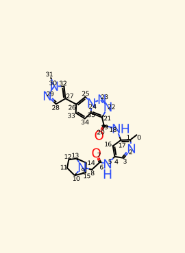 Cc1ncc(NC(=O)CN2C3CCC2CC3)cc1NC(=O)c1nnn2cc(-c3cnn(C)c3)ccc12